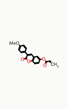 C=CC(=O)Oc1ccc2oc(=O)c(-c3ccc(OC)cc3)cc2c1